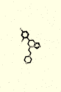 Fc1ccc(C(CNCCN2CCOCC2)Cn2cncn2)c(F)c1